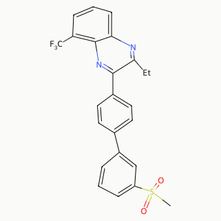 CCc1nc2cccc(C(F)(F)F)c2nc1-c1ccc(-c2cccc(S(C)(=O)=O)c2)cc1